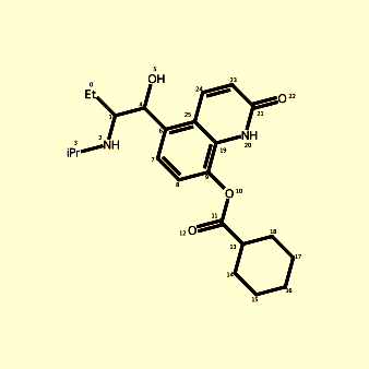 CCC(NC(C)C)C(O)c1ccc(OC(=O)C2CCCCC2)c2[nH]c(=O)ccc12